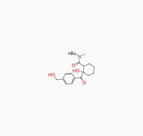 CCCCN(C)C(=O)C1CCCCC1(O)C(=O)c1ccc(CO)cc1